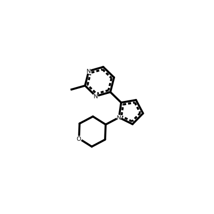 Cc1nccc(-c2cccn2C2CCOCC2)n1